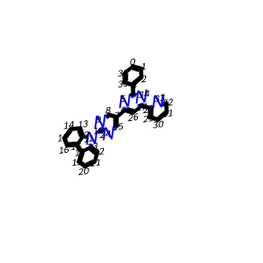 c1ccc(-c2nc(-c3cnc(-n4c5ccccc5c5ccccc54)nc3)cc(-c3ccccn3)n2)cc1